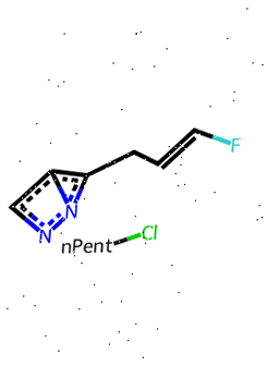 CCCCCCl.FC=CCc1c2cnn1-2